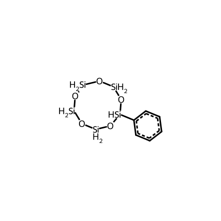 c1ccc([SiH]2O[SiH2]O[SiH2]O[SiH2]O[SiH2]O2)cc1